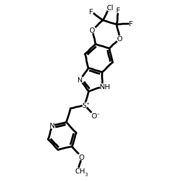 COc1ccnc(C[S+]([O-])c2nc3cc4c(cc3[nH]2)OC(F)(F)C(F)(Cl)O4)c1